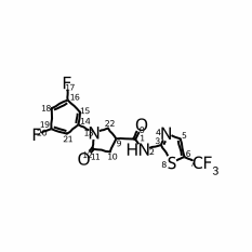 O=C(Nc1ncc(C(F)(F)F)s1)C1CC(=O)N(c2cc(F)cc(F)c2)C1